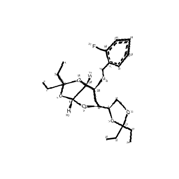 CCC1(CC)O[C@H]2O[C@H]([C@H]3COC(CC)(CC)O3)[C@H](OCc3ccccc3F)[C@H]2O1